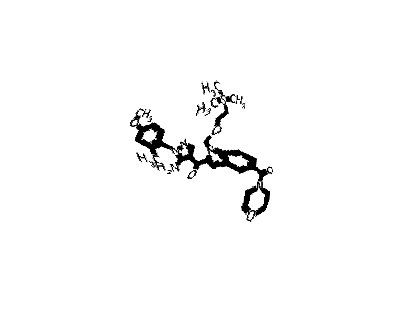 COc1ccc(-n2ncc(C(=O)c3cc4cc(C(=O)N5CCOCC5)ccc4n3COCCS(C)(C)C)c2N)c(C)c1